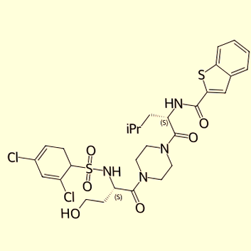 CC(C)C[C@H](NC(=O)c1cc2ccccc2s1)C(=O)N1CCN(C(=O)[C@H](CCO)NS(=O)(=O)C2CC=C(Cl)C=C2Cl)CC1